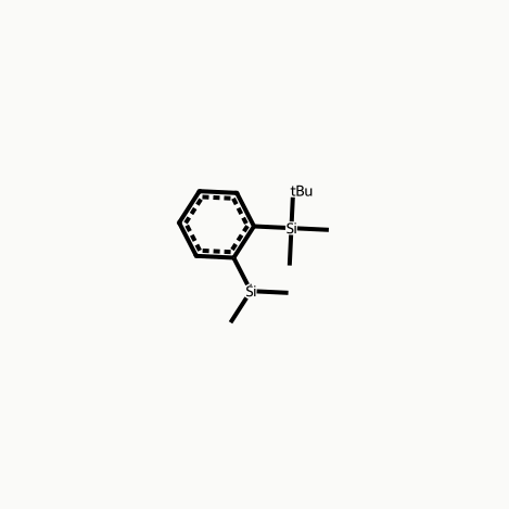 C[Si](C)c1ccccc1[Si](C)(C)C(C)(C)C